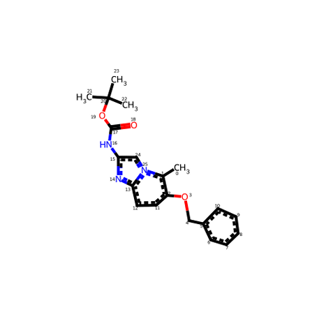 Cc1c(OCc2ccccc2)ccc2nc(NC(=O)OC(C)(C)C)cn12